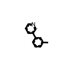 Cc1cccc(-c2[c]nccc2)c1